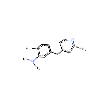 Cc1cc(Cc2ccc(C)c(N(C)C)c2)ccn1